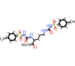 COC(=O)C(CCCNC(=O)NS(=O)(=O)c1ccc(C)cc1)NC(=O)NS(=O)(=O)c1ccc(C)cc1